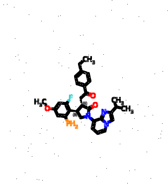 CCc1ccc(C(=O)C[C@@H]2C(=O)N(c3cccn4cc(C(C)C)nc34)C[C@H]2c2c(F)cc(OC)cc2P)cc1